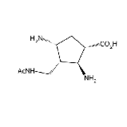 CC(=O)NC[C@H]1[C@H](N)[C@@H](C(=O)O)C[C@H]1N